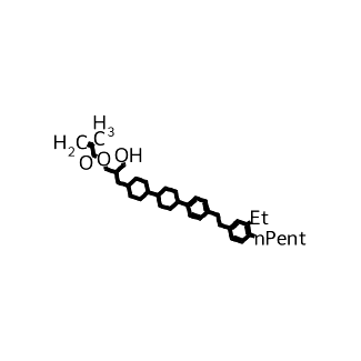 C=C(C)C(=O)OCC(CO)CC1CCC(C2CCC(c3ccc(CCc4ccc(CCCCC)c(CC)c4)cc3)CC2)CC1